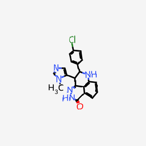 Cn1cncc1C1c2n[nH]c(=O)c3cccc(c23)NC1c1ccc(Cl)cc1